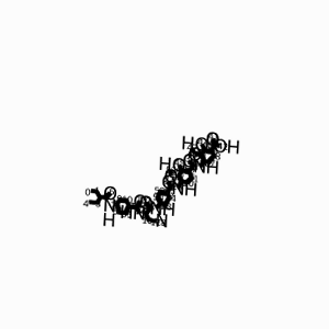 CCC(CC)C(=O)Nc1ccc(C(=O)NC(CC#N)C(=O)Nc2ccc(C(=O)Nc3ccc(C(=O)Nc4ccc(C(=O)O)c(O)c4OC)c(O)c3OC)cc2)cc1